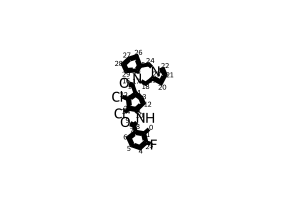 Cc1c(F)cccc1C(=O)Nc1ccc(C(=O)N2Cc3cccn3Cc3ccccc32)c(Cl)c1Cl